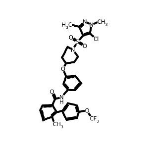 Cc1cccc(C(=O)Nc2cccc(OC3CCN(S(=O)(=O)c4c(C)nn(C)c4Cl)CC3)c2)c1-c1ccc(OC(F)(F)F)cc1